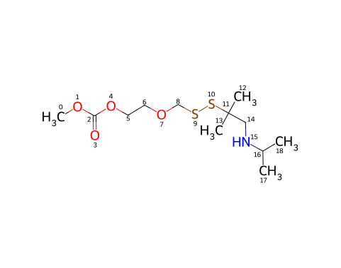 COC(=O)OCCOCSSC(C)(C)CNC(C)C